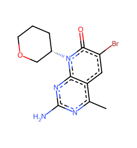 Cc1nc(N)nc2c1cc(Br)c(=O)n2[C@H]1CCCOC1